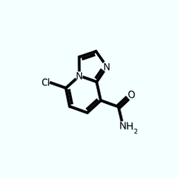 NC(=O)c1ccc(Cl)n2ccnc12